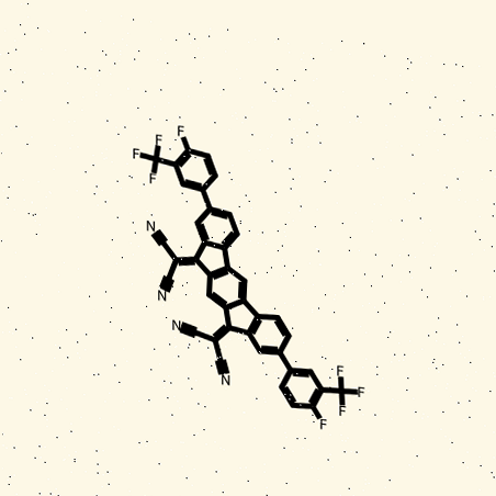 N#CC(C#N)=C1c2cc(-c3ccc(F)c(C(F)(F)F)c3)ccc2-c2cc3c(cc21)C(=C(C#N)C#N)c1cc(-c2ccc(F)c(C(F)(F)F)c2)ccc1-3